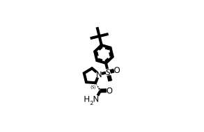 C=S(=O)(c1ccc(C(C)(C)C)cc1)N1CCC[C@H]1C(N)=O